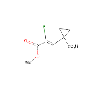 CC(C)(C)OC(=O)C(F)=CC1(C(=O)O)CC1